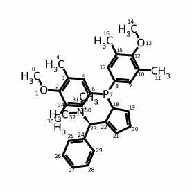 COc1c(C)cc(P(c2cc(C)c(OC)c(C)c2)C2C=CC=C2[C@@H](c2ccccc2)N(C)C)cc1C